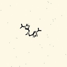 CC(C)n1cc(CN(C)Cc2cn(C(C)C)nn2)nn1